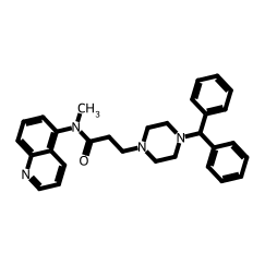 CN(C(=O)CCN1CCN(C(c2ccccc2)c2ccccc2)CC1)c1cccc2ncccc12